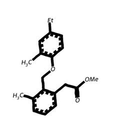 CCc1ccc(OCc2c(C)cccc2CC(=O)OC)c(C)c1